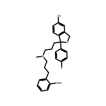 COc1ccccc1CCCN(C)CCCC1(c2ccc(F)cc2)OCc2cc(C#N)ccc21